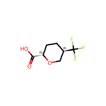 O=C(O)[C@@H]1CC[C@@H](C(F)(F)F)CO1